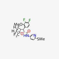 COc1c([C@H]2[C@H](C(=O)Nc3ccc(SC)nc3)O[C@@](C)(C(F)(F)F)[C@H]2C)ccc(F)c1F